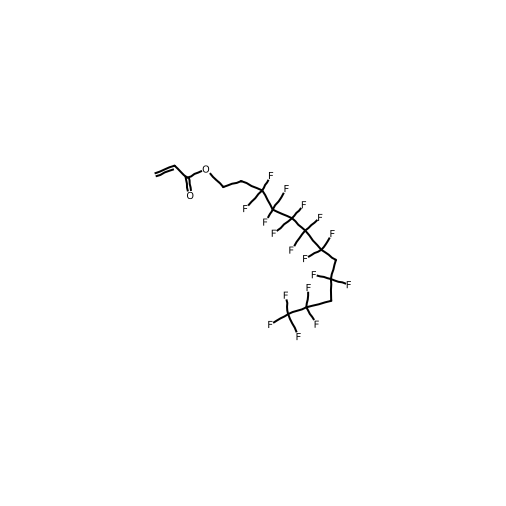 C=CC(=O)OCCC(F)(F)C(F)(F)C(F)(F)C(F)(F)C(F)(F)CC(F)(F)CC(F)(F)C(F)(F)F